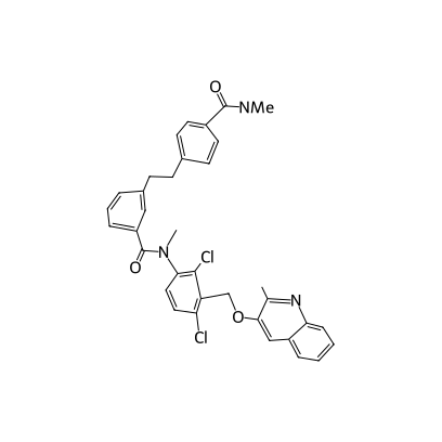 CNC(=O)c1ccc(CCc2cccc(C(=O)N(C)c3ccc(Cl)c(COc4cc5ccccc5nc4C)c3Cl)c2)cc1